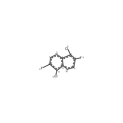 Fc1cnc2c(Cl)c(F)cnc2c1Cl